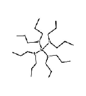 CCCN(CCC)[Si](N(CCC)CCC)(N(CCC)CCC)N(CCC)CCC